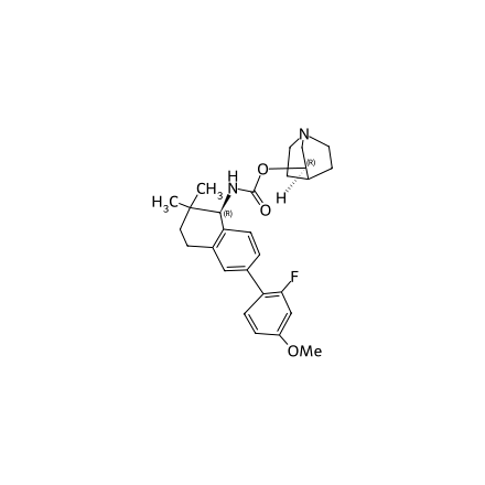 COc1ccc(-c2ccc3c(c2)CCC(C)(C)[C@H]3NC(=O)O[C@H]2CN3CCC2CC3)c(F)c1